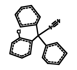 N#[N+]C(c1ccccc1)(c1ccccc1)c1ccccc1Cl